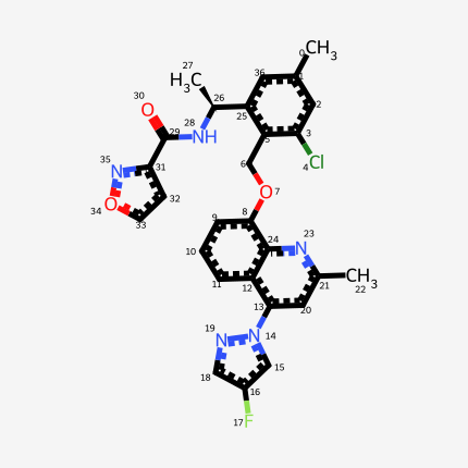 Cc1cc(Cl)c(COc2cccc3c(-n4cc(F)cn4)cc(C)nc23)c([C@H](C)NC(=O)c2ccon2)c1